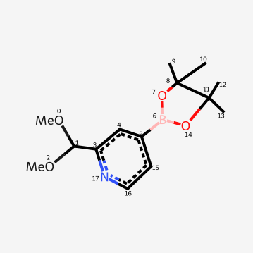 COC(OC)c1cc(B2OC(C)(C)C(C)(C)O2)ccn1